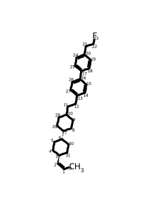 C/C=C\[C@H]1CC[C@H](C2CCC(CCc3ccc(-c4ccc(CCF)cc4)cc3)CC2)CC1